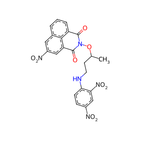 CC(CCNc1ccc([N+](=O)[O-])cc1[N+](=O)[O-])ON1C(=O)c2cccc3cc([N+](=O)[O-])cc(c23)C1=O